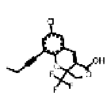 CCC#Cc1cc(Cl)cc2c1OC(CC)(C(F)(F)F)C(C(=O)O)=C2